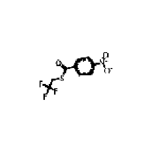 O=C(SCC(F)(F)F)c1ccc([N+](=O)[O-])cc1